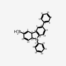 BC1=CC2c3cc(-c4ccccc4)ccc3N(c3ccccc3)C2C=C1